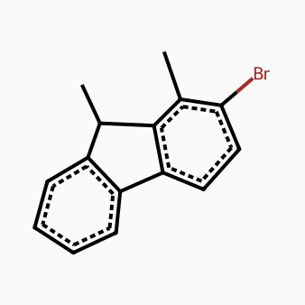 Cc1c(Br)ccc2c1C(C)c1ccccc1-2